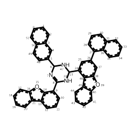 c1ccc2cc(C3N=C(c4cccc5c4oc4ccccc45)NC(c4cc(-c5cccc6ccccc56)cc5oc6ccccc6c45)N3)ccc2c1